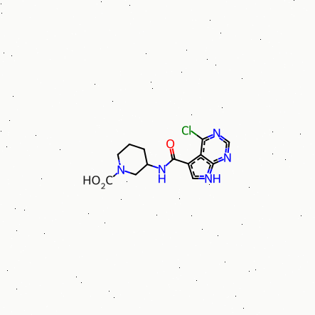 O=C(NC1CCCN(C(=O)O)C1)c1c[nH]c2ncnc(Cl)c12